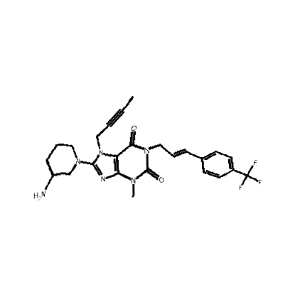 CC#CCn1c(N2CCCC(N)C2)nc2c1c(=O)n(CC=Cc1ccc(C(F)(F)F)cc1)c(=O)n2C